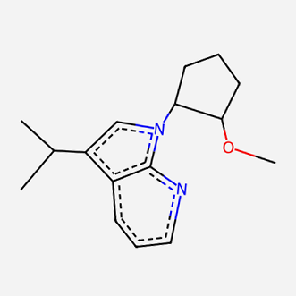 COC1CCCC1n1cc(C(C)C)c2cccnc21